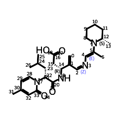 C=C(/C=N\C=C(/C)N1CCCC[C@@H]1C)[C@@H](CC(=O)O)NC(=O)[C@@H](CC(C)C)n1ccc(C)cc1=O